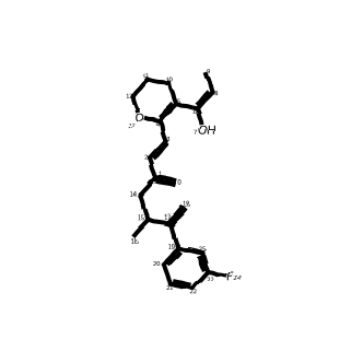 C=C(/C=C/C1=C(C(/O)=C\C)CCCO1)CC(C)C(=C)c1cccc(F)c1